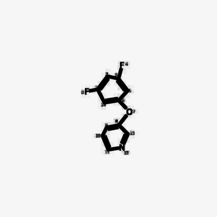 Fc1cc(F)cc(Oc2c[c]cnc2)c1